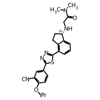 [C-]#[N+]c1cc(-c2nnc(-c3cccc4c3CC[C@@H]4NCC(=O)N(C)C)s2)ccc1OC(C)C